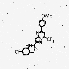 COc1ccc(-c2cc(C(F)(F)F)n3nc(C(=O)Nc4cc(Cl)ccc4C)cc3n2)cc1